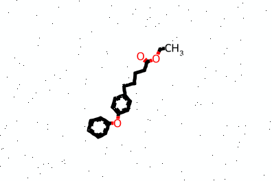 CCOC(=O)CCCCc1ccc(Oc2ccccc2)cc1